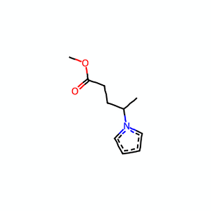 COC(=O)CCC(C)n1cccc1